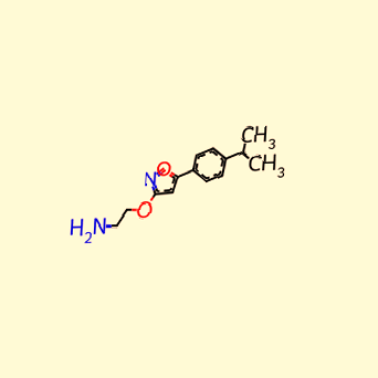 CC(C)c1ccc(-c2cc(OCCN)no2)cc1